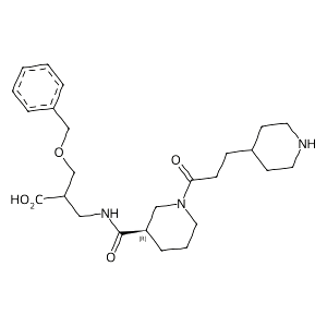 O=C(O)C(CNC(=O)[C@@H]1CCCN(C(=O)CCC2CCNCC2)C1)COCc1ccccc1